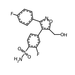 NS(=O)(=O)c1ccc(-c2c(-c3ccc(F)cc3)noc2CO)cc1F